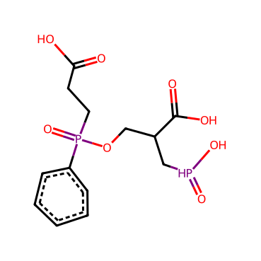 O=C(O)CCP(=O)(OCC(C[PH](=O)O)C(=O)O)c1ccccc1